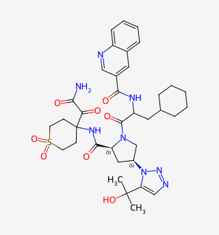 CC(C)(O)c1cnnn1[C@H]1C[C@@H](C(=O)NC2(C(=O)C(N)=O)CCS(=O)(=O)CC2)N(C(=O)C(CC2CCCCC2)NC(=O)c2cnc3ccccc3c2)C1